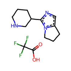 O=C(O)C(F)(F)F.c1nc(C2CCCNC2)n2c1CCC2